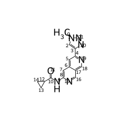 Cn1cc(-c2cc3cc(NC(=O)C4CC4)ncc3cn2)nn1